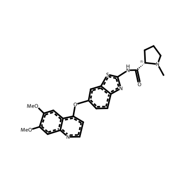 COc1cc2nccc(Oc3ccc4nc(NC(=O)[C@@H]5CCCN5C)sc4c3)c2cc1OC